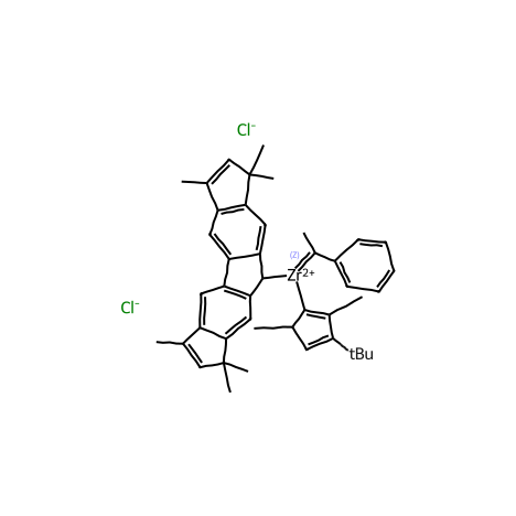 CC1=CC(C)(C)c2cc3c(cc21)-c1cc2c(cc1[CH]3/[Zr+2]([C]1=C(C)C(C(C)(C)C)=CC1C)=[C](\C)c1ccccc1)C(C)(C)C=C2C.[Cl-].[Cl-]